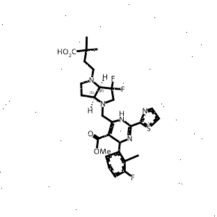 COC(=O)C1=C(CN2CC(F)(F)[C@H]3[C@@H]2CCN3CCC(C)(C)C(=O)O)NC(c2nccs2)=NC1c1cccc(F)c1C